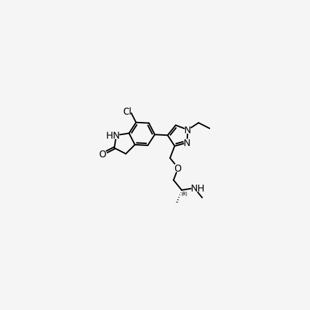 CCn1cc(-c2cc(Cl)c3c(c2)CC(=O)N3)c(COC[C@@H](C)NC)n1